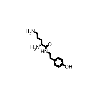 NCCC[C@H](N)C(=O)NCCc1ccc(O)cc1